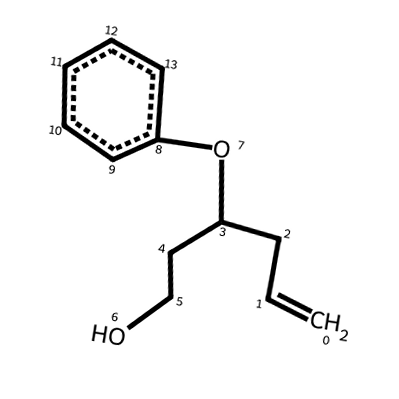 C=CCC(CCO)Oc1ccccc1